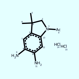 CC(=O)N1CC(C)(C)c2cc(N)c(N)cc21.Cl.Cl